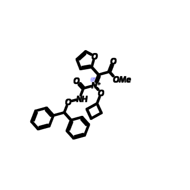 COC(=O)/C(c1ccco1)=[N+](\OC1CCC1)C(=O)NOC(c1ccccc1)c1ccccc1